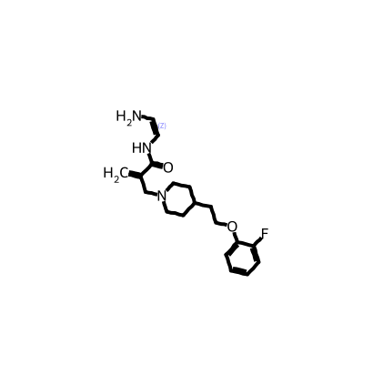 C=C(CN1CCC(CCOc2ccccc2F)CC1)C(=O)N/C=C\N